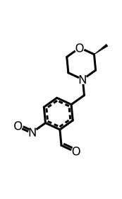 C[C@H]1CN(Cc2ccc(N=O)c(C=O)c2)CCO1